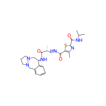 Cc1nc(C(=O)NC(C)C)sc1C(=O)NC[C@@H](C)C(=O)N[C@@H]1CN2CCCN2Cc2ccccc21